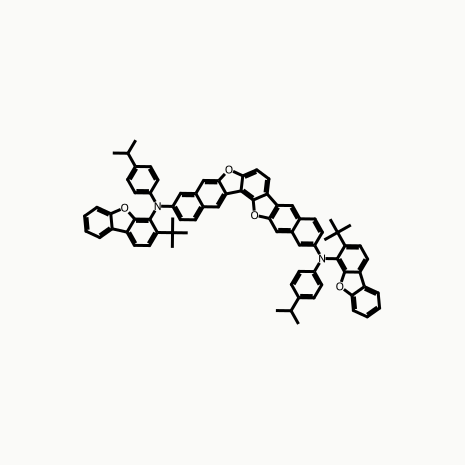 CC(C)c1ccc(N(c2ccc3cc4c(cc3c2)oc2c4ccc3oc4cc5cc(N(c6ccc(C(C)C)cc6)c6c(C(C)(C)C)ccc7c6oc6ccccc67)ccc5cc4c32)c2c(C(C)(C)C)ccc3c2oc2ccccc23)cc1